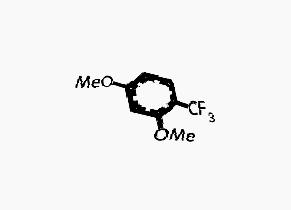 COc1ccc(C(F)(F)F)c(OC)c1